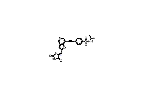 CC(C)NS(=O)(=O)c1ccc(C#Cc2cncc3cc(/C=C4\SC(=S)NC4=O)oc23)cc1